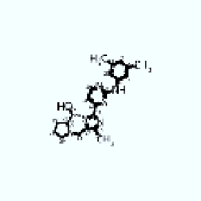 Cc1cc(C)cc(Nc2nccc(-c3nc(C)c(CN4CCC[C@H]4CO)s3)n2)c1